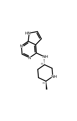 C[C@H]1CC[C@H](Nc2ncnc3[nH]ccc23)CN1